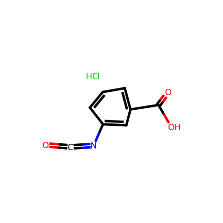 Cl.O=C=Nc1cccc(C(=O)O)c1